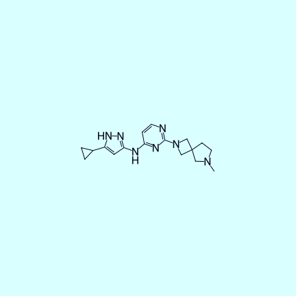 CN1CCC2(C1)CN(c1nccc(Nc3cc(C4CC4)[nH]n3)n1)C2